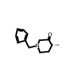 C[C@@H]1CCN(Cc2ccccc2)CC1=O